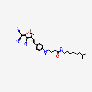 CC(C)CCCCCCNC(=O)CCCN(C)c1ccc(/C=C/C2=C(C#N)C(=C(C#N)C#N)OC2(C)C)cc1